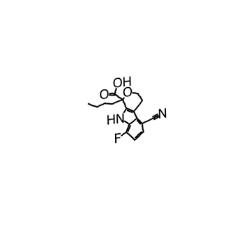 CCCCC1(C(=O)O)OCCc2c1[nH]c1c(F)ccc(C#N)c21